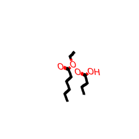 CCCC(=O)O.CCCCCC(=O)OCC